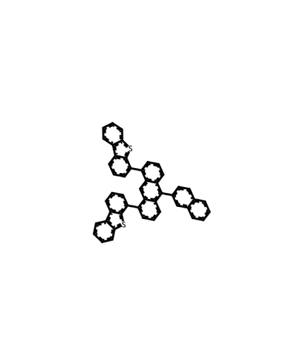 c1ccc2cc(-c3c4cccc(-c5cccc6c5sc5ccccc56)c4cc4c(-c5cccc6c5sc5ccccc56)cccc34)ccc2c1